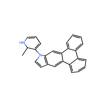 CC1NC=CC=C1n1ccc2cc3c4ccccc4c4ccccc4c3cc21